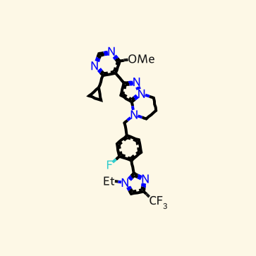 CCn1cc(C(F)(F)F)nc1-c1ccc(CN2CCCn3nc(-c4c(OC)ncnc4C4CC4)cc32)cc1F